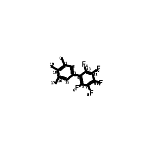 Cc1cc(-c2c(F)c(F)c(F)c(F)c2F)cc(C)c1C